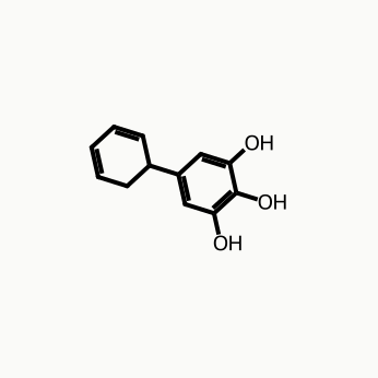 Oc1cc(C2C=CC=CC2)cc(O)c1O